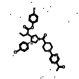 CCN(C(=O)Oc1ccc(F)cc1)[C@H]1CN(C(=O)C2CCN(c3ccc(C(C)=O)cn3)CC2)C[C@@H]1c1ccc(Cl)cc1